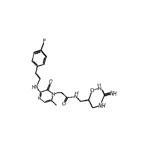 Cc1cnc(NCCc2ccc(F)cc2)c(=O)n1CC(=O)NCC1CNC(=N)NO1